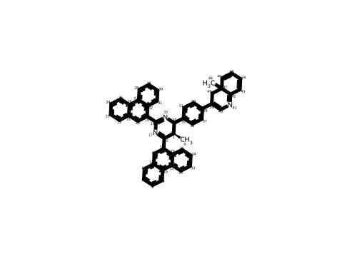 C[C@H]1C(c2cc3ccccc3c3ccccc23)=NC(c2cc3ccccc3c3ccccc23)=NC1c1ccc(C2=CN=C3C=CC=CC3(C)C2)cc1